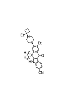 CCc1cc2c(cc1N1CCN(C3(CC)CCC3)CC1)C(C)(C)c1[nH]c3cc(C#N)ccc3c1C2=O